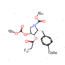 COc1ccc(C[C@@H]2[C@H](OC(=O)CC(F)(F)F)[C@@H](OC(=O)OC(C)(C)C)CN2C(=O)OC(C)(C)C)cc1